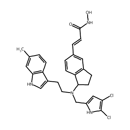 Cc1ccc2c(CCN(Cc3cc(Cl)c(Cl)[nH]3)C3CCc4cc(/C=C/C(=O)NO)ccc43)c[nH]c2c1